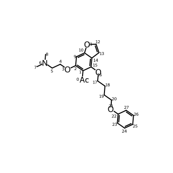 CC(=O)c1c(OCCN(C)C)cc2occc2c1OCCCCOc1ccccc1